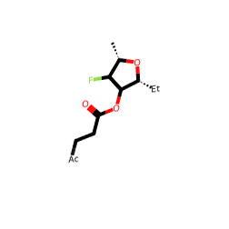 CC[C@H]1O[C@@H](C)C(F)C1OC(=O)CCC(C)=O